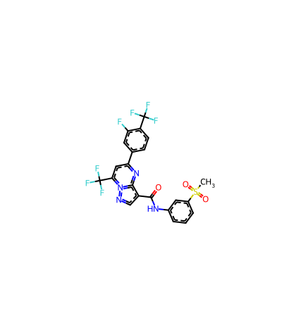 CS(=O)(=O)c1cccc(NC(=O)c2cnn3c(C(F)(F)F)cc(-c4ccc(C(F)(F)F)c(F)c4)nc23)c1